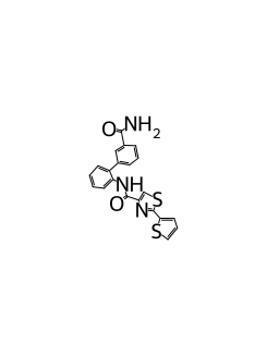 NC(=O)c1cccc(-c2ccccc2NC(=O)c2csc(-c3cccs3)n2)c1